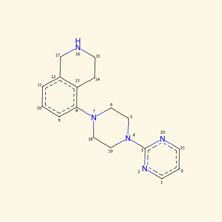 c1cnc(N2CCN(c3cccc4c3CCNC4)CC2)nc1